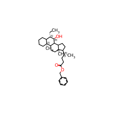 CC[C@H]1C2CCCC[C@]2(C)C2CC[C@@]3(C)C(CCC3[C@H](C)CCC(=O)OCc3ccccc3)C2[C@@H]1O